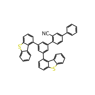 N#Cc1cc(-c2ccccc2)ccc1-c1cc(-c2cccc3sc4ccccc4c23)cc(-c2cccc3sc4ccccc4c23)c1